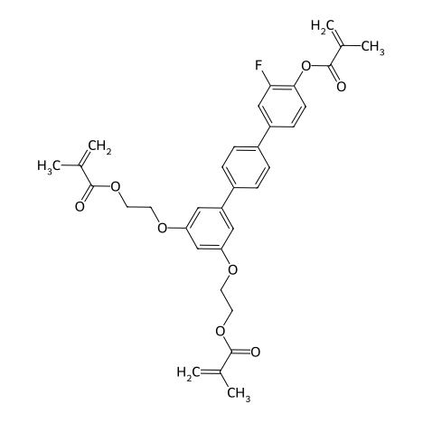 C=C(C)C(=O)OCCOc1cc(OCCOC(=O)C(=C)C)cc(-c2ccc(-c3ccc(OC(=O)C(=C)C)c(F)c3)cc2)c1